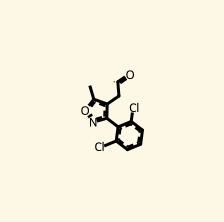 Cc1onc(-c2c(Cl)cccc2Cl)c1C[C]=O